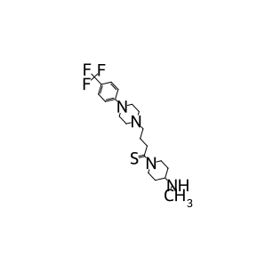 CNC1CCN(C(=S)CCCN2CCN(c3ccc(C(F)(F)F)cc3)CC2)CC1